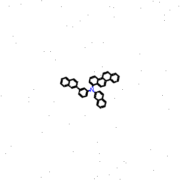 c1cc(-c2ccc3ccccc3c2)cc(N(c2ccc3ccccc3c2)c2cccc3c2ccc2c4ccccc4ccc32)c1